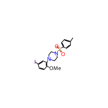 COc1ccc(I)cc1N1CCN(S(=O)(=O)c2ccc(C)cc2)CC1